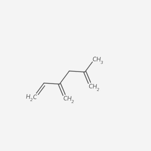 C=CC(=C)CC(=C)C